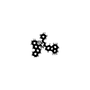 C1=C(c2ccc3c(c2)-c2cccc4cccc-3c24)N=C(c2c3ccccc3cc3c2ccc2ccccc23)NC1c1ccccc1